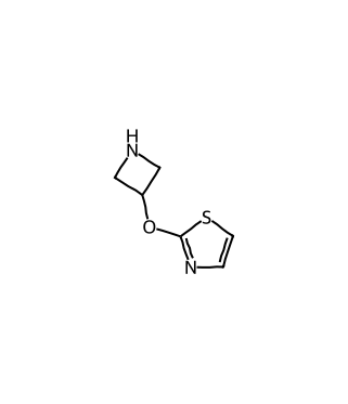 c1csc(OC2CNC2)n1